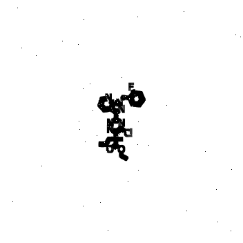 C=CCC(C)(C(=O)OCC)c1nnc(-c2nn(Cc3ccccc3F)c3ncccc23)nc1Cl